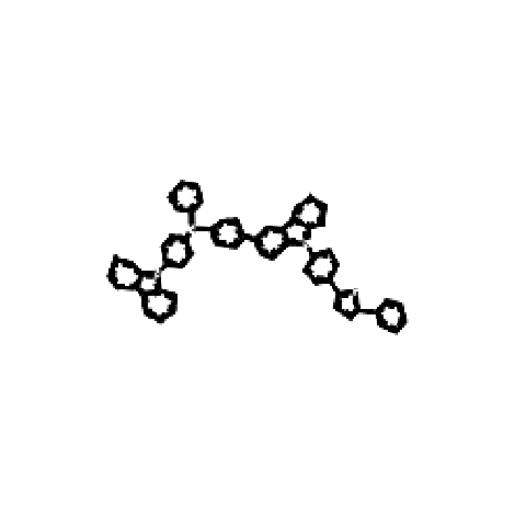 c1ccc(-c2ccc(-c3ccc(-n4c5ccccc5c5cc(-c6ccc(N(c7ccccc7)c7ccc(-n8c9ccccc9c9ccccc98)cc7)cc6)ccc54)cc3)s2)cc1